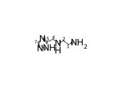 NCCNCc1ncn[nH]1